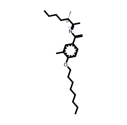 C=C(/N=C(\C)[C@@H](C)CCCC)c1ccc(OCCCCCCCC)c(C)c1